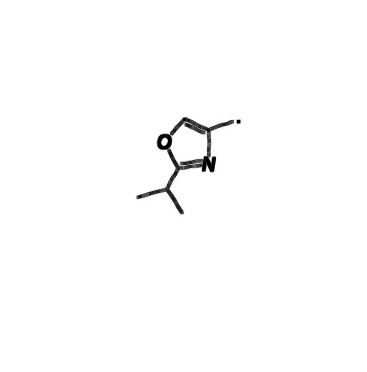 [CH2]c1coc(C(C)C)n1